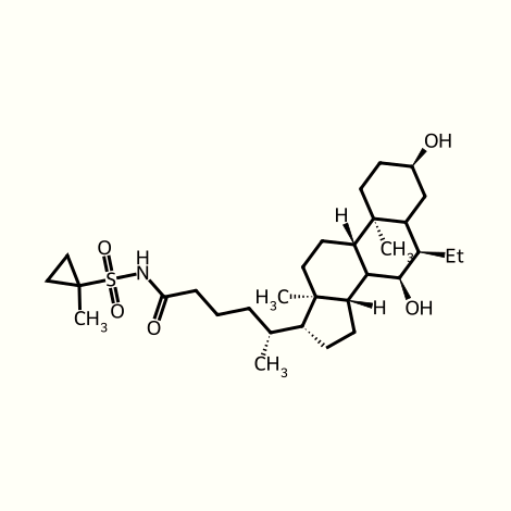 CC[C@@H]1C2C[C@H](O)CC[C@]2(C)[C@H]2CC[C@]3(C)[C@@H]([C@H](C)CCCC(=O)NS(=O)(=O)C4(C)CC4)CC[C@H]3C2[C@@H]1O